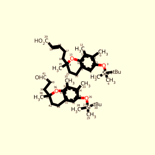 Cc1c(O[Si](C)(C)C(C)(C)C)cc2c(c1C)OC(C)(CC/C=C/C(=O)O)CC2.Cc1c(O[Si](C)(C)C(C)(C)C)cc2c(c1C)OC(C)(CCC=O)CC2